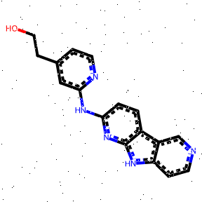 OCCc1ccnc(Nc2ccc3c(n2)[nH]c2ccncc23)c1